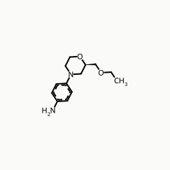 CCOC[C@H]1CN(c2ccc(N)cc2)CCO1